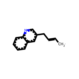 [CH2]/C=C/Cc1cnc2ccccc2c1